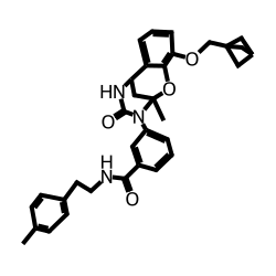 Cc1ccc(CCNC(=O)c2cccc(N3C(=O)NC4CC3(C)Oc3c(OCC56CC(C5)C6)cccc34)c2)cc1